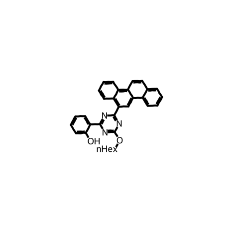 CCCCCCOc1nc(-c2ccccc2O)nc(-c2cc3c4ccccc4ccc3c3ccccc23)n1